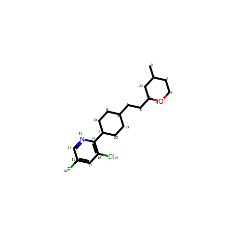 CC1CCOC(CCC2CCC(c3ncc(F)cc3Cl)CC2)C1